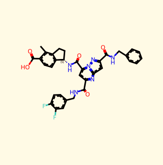 Cc1c(C(=O)O)ccc2c1CC[C@@H]2NC(=O)c1cc(C(=O)NCc2ccc(F)c(F)c2)nc2cc(C(=O)NCc3ccccc3)nn12